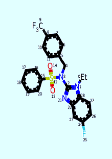 CCn1c(N(Cc2ccc(C(F)(F)F)cc2)S(=O)(=O)c2ccccc2)nc2cc(F)ccc21